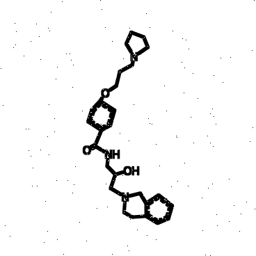 O=C(NCC(O)CN1CCc2ccccc2C1)c1ccc(OCCCN2CCCC2)cc1